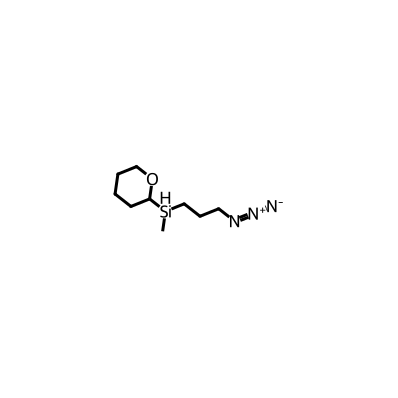 C[SiH](CCCN=[N+]=[N-])C1CCCCO1